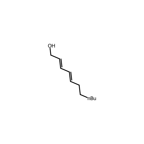 CCCCCCC=CC=CCO